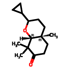 CC1(C)C(=O)CC[C@]2(C)CCC(C3CC3)O[C@@H]12